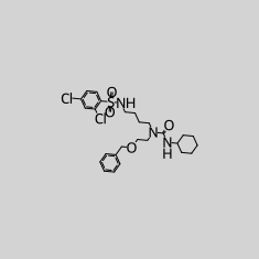 O=C(NC1CCCCC1)N(CCCCNS(=O)(=O)c1ccc(Cl)cc1Cl)CCOCc1ccccc1